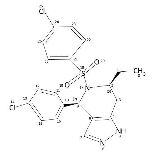 CC[C@H]1Cc2[nH]ncc2[C@@H](c2ccc(Cl)cc2)N1S(=O)(=O)c1ccc(Cl)cc1